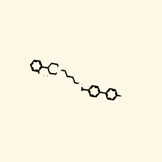 CSc1ccccc1C1CCN(CCCCNC(=O)c2ccc(-c3ccc(C(F)(F)F)cc3)cc2)CC1